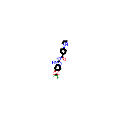 O=C(Nc1nc2cc3c(cc2[nH]1)OC(F)(F)O3)c1ccc(-n2cccn2)cc1